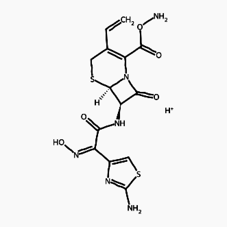 C=CC1=C(C(=O)ON)N2C(=O)[C@@H](NC(=O)/C(=N\O)c3csc(N)n3)[C@H]2SC1.[H+]